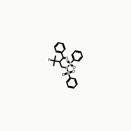 CC(C)(F)C(CN(S(=O)(=O)c1ccccc1)S(=O)(=O)c1ccccc1)C(=O)c1ccccc1